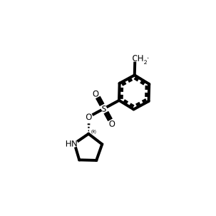 [CH2]c1cccc(S(=O)(=O)O[C@@H]2CCCN2)c1